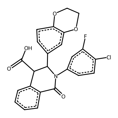 O=C(O)C1c2ccccc2C(=O)N(c2ccc(Cl)c(F)c2)C1c1ccc2c(c1)OCCO2